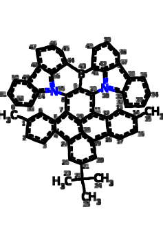 Cc1ccc2c(c1)c1c3c4c(c5c6cc(C)ccc6c6cc(C(C)(C)C)cc2c6c15)-n1c2ccccc2c2cccc(c21)B4c1cccc2c4ccccc4n-3c12